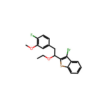 CCOC(Cc1ccc(F)c(OC)c1)c1sc2ccccc2c1Br